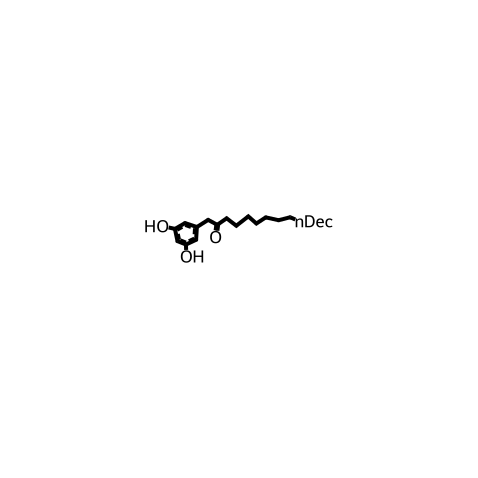 CCCCCCCCCCCCCCCCCC(=O)Cc1cc(O)cc(O)c1